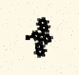 Brc1ccc2c(c1)C(c1ccc3ccccc3c1)c1ccccc1C2c1ccc2ccccc2c1